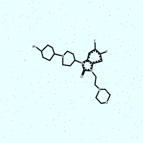 CC(C)C1CCC(N2CCC(n3c(=O)n(CCN4CCOCC4)c4cc(F)c(F)cc43)CC2)CC1